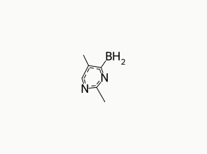 Bc1nc(C)ncc1C